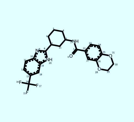 O=C(NC1CCCC(c2nc3ccc(C(F)(F)F)cc3[nH]2)C1)c1ccc2c(c1)OCCO2